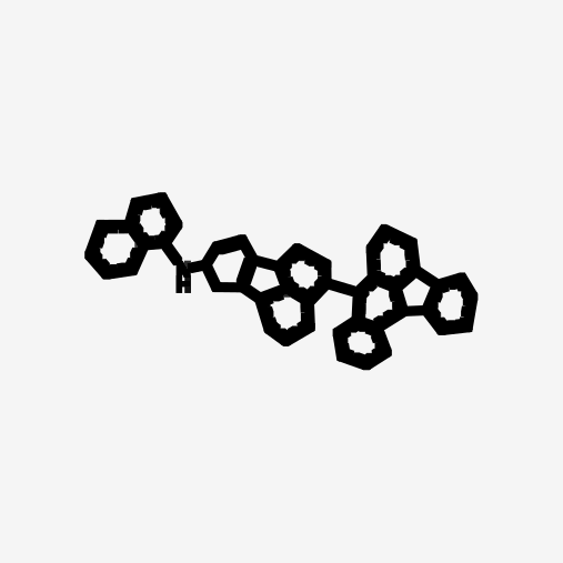 C1=CC(Nc2cccc3ccccc23)CC2=C1c1ccc(-c3c4ccccc4c4c5c(cccc35)-c3ccccc3-4)c3cccc2c13